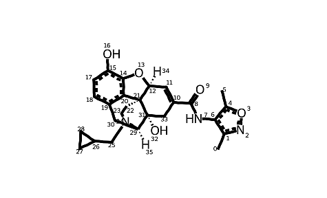 Cc1noc(C)c1NC(=O)C1=C[C@@H]2Oc3c(O)ccc4c3[C@@]23CCN(CC2CC2)[C@H](C4)[C@]3(O)C1